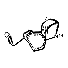 O=Cc1cc2c3c(c1)OC(N2)N3